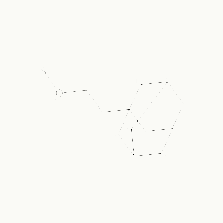 SOCCC12CC3CC(CC(C3)C1)C2